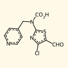 O=Cc1sc(N(Cc2ccncc2)C(=O)O)nc1Cl